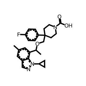 Cc1cc(C(C)OCC2(c3ccc(F)cc3)CCN(C(=O)O)CC2)c2c(cnn2C2CC2)c1